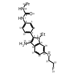 CCn1c(-c2ccc(NC(=O)NC(C)C)cc2)c(N)c2ccc(OCCF)cc21